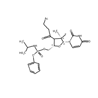 CC(=O)CCC(=O)C1[C@@H](COP(=O)(NC(C)C(=O)O)Oc2ccccc2)O[C@@H](n2ccc(=O)[nH]c2=O)[C@]1(C)F